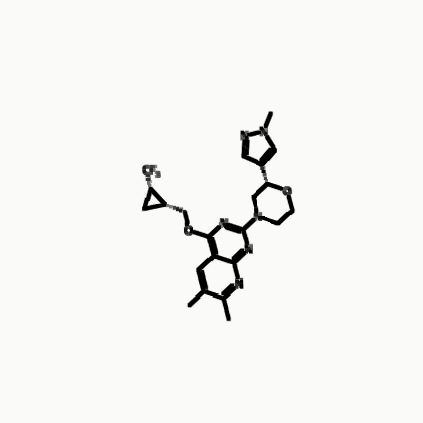 Cc1cc2c(OC[C@@H]3C[C@@H]3C(F)(F)F)nc(N3CCO[C@@H](c4cnn(C)c4)C3)nc2nc1C